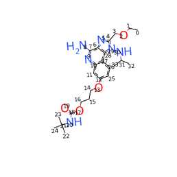 CCOCc1nc2c(N)nc3cc(OCCCOC(=O)NC(C)(C)C)ccc3c2n1NC(C)C